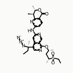 CC[C@@](C)(N=[N+]=[N-])c1cnc(O[C@H](C)C[C@@H](C)S(=O)(=O)CC)c2cnc(Nc3ccc4c(n3)[C@@H](C)[C@H](C)OC4=O)cc12